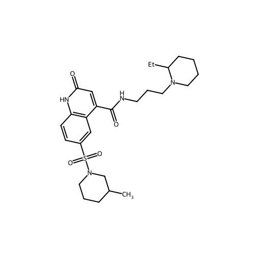 CCC1CCCCN1CCCNC(=O)c1cc(=O)[nH]c2ccc(S(=O)(=O)N3CCCC(C)C3)cc12